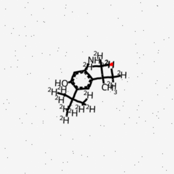 [2H]C([2H])([2H])C(C)(c1cc(C(C([2H])([2H])[2H])(C([2H])([2H])[2H])C([2H])([2H])[2H])c(O)cc1N)C([2H])([2H])[2H]